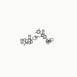 Cc1cc(C)cc(-c2[nH]c3sc(C(C)(C)C(=O)C4C5CCC4NC5)cc3c2CCN2CCC(C(=O)NC(CO)C(N)=O)CC2)c1